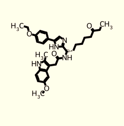 CCOc1ccc(-c2cnc([C@H](CCCCCC(=O)CC)NC(=O)Cc3c(C)[nH]c4ccc(OC)cc34)[nH]2)cc1